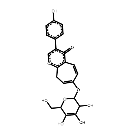 O=c1c(-c2ccc(O)cc2)coc2c1C=CC(OC1OC(CO)C(O)=C(O)C1O)=CC2